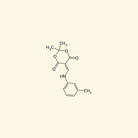 Cc1cccc(NC=C2C(=O)OC(C)(C)OC2=O)c1